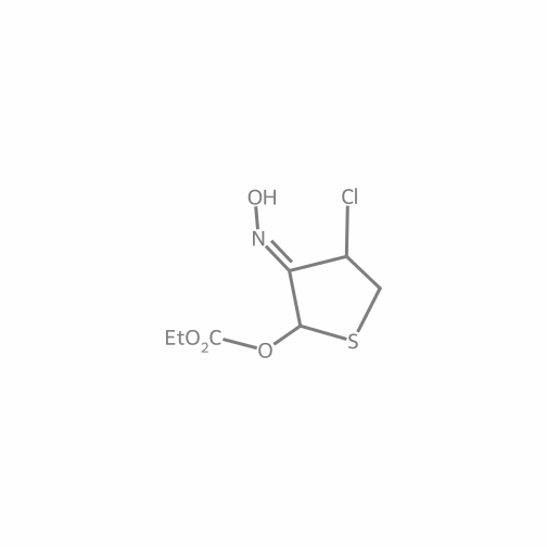 CCOC(=O)OC1SCC(Cl)C1=NO